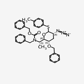 Cc1ccc(SC2O[C@H]([C@H](C)N(Cc3ccccc3)C(=O)OCc3ccccc3)[C@@H](OCc3ccccc3)C[C@H]2N=[N+]=[N-])cc1